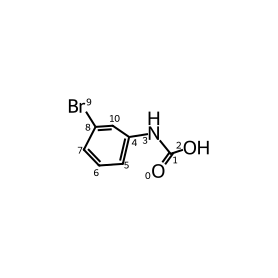 O=C(O)Nc1cccc(Br)c1